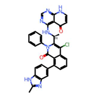 Cc1nc2cc(-c3cccc4c(Cl)c([C@H](C)Nc5ncnc6[nH]ccc(=O)c56)n(-c5ccccc5)c(=O)c34)ccc2[nH]1